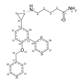 NC(=O)CCCCN[C@H]1CC1c1ccc(OCc2ccccc2)c(-c2ccccc2)c1